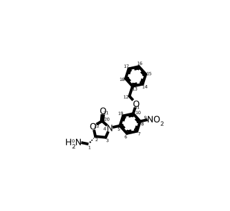 NC[C@H]1CN(c2ccc([N+](=O)[O-])c(OCc3ccccc3)c2)C(=O)O1